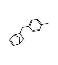 Ic1ccc(CC2CC3C=CC2C3)cc1